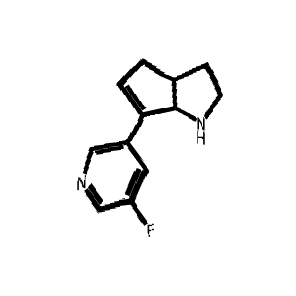 Fc1cncc(C2=CCC3CCNC23)c1